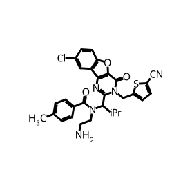 Cc1ccc(C(=O)N(CCN)C(c2nc3c(oc4ccc(Cl)cc43)c(=O)n2Cc2ccc(C#N)s2)C(C)C)cc1